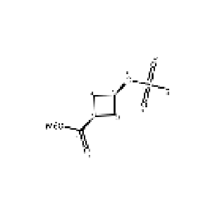 COC(=O)[C@H]1C[C@@H](OS(C)(=O)=O)C1